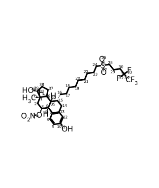 C[C@]12C[C@H](O[N+](=O)[O-])[C@@H]3c4ccc(O)cc4C[C@@H](CCCCCCCCCS(=O)(=O)CCCC(F)(F)C(F)(F)F)[C@H]3[C@@H]1CC[C@@H]2O